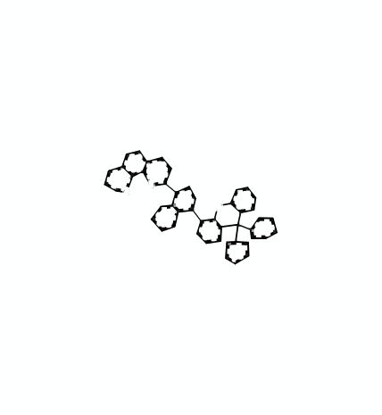 c1ccc(C2(c3ccccc3)c3ccccc3Oc3c(-c4ccc(-c5ccc6ccc7cccnc7c6n5)c5ccccc45)cccc32)cc1